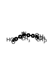 Cc1cc(C2=CCN(C(=O)O)CC2)ccc1-c1nnc(-c2ccc(C3=CCN(C(=O)OC(C)(C)C)CC3)cc2)o1